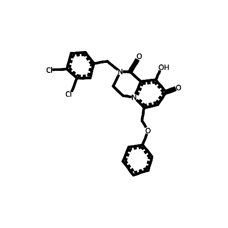 O=C1c2c(O)c(=O)cc(COc3ccccc3)n2CCN1Cc1ccc(Cl)c(Cl)c1